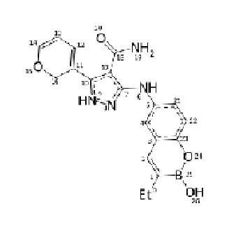 CCC1=Cc2cc(Nc3n[nH]c(C4=CC=COC4)c3C(N)=O)ccc2OB1O